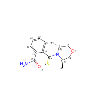 C[C@@H]1COC[C@@H](C)N1C(=S)c1ccccc1C(N)=O